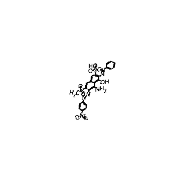 CS(=O)(=O)c1cc2cc(S(=O)(=O)O)c(/N=N/c3ccccc3)c(O)c2c(N)c1/N=N/c1ccc([N+](=O)[O-])cc1